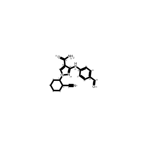 N#CC1CCCCC1n1cc(C(N)=O)c(Nc2ccc(C=O)cc2)n1